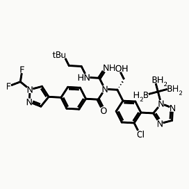 BC(B)(B)n1ncnc1-c1cc([C@@H](CO)N(C(=N)NCCC(C)(C)C)C(=O)c2ccc(-c3cnn(C(F)F)c3)cc2)ccc1Cl